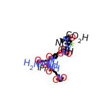 CC(C)[C@H](NC(=O)CCCCCN1C(=O)C=CC1=O)C(=O)N[C@@H](CCCNC(N)=O)C(=O)Nc1ccc(COC(=O)N2CCO[C@@H]3CN(c4c(F)cc5c(=O)c(C(=O)O)cn(C6CC6)c5c4C#N)C[C@H]32)cc1